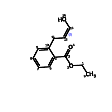 CCOC(=O)c1ccccc1C/C=C\O